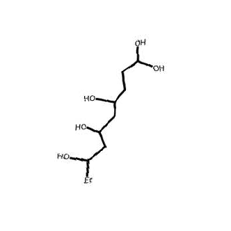 CCC(O)CC(O)CC(O)CCC(O)O